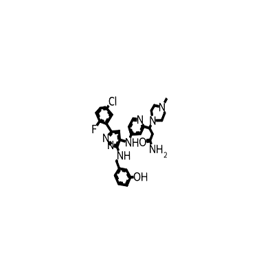 CN1CCN(C(CC(N)=O)c2cc(Nc3cc(-c4cc(Cl)ccc4F)nnc3NCc3cccc(O)c3)ccn2)CC1